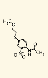 COCCSc1ccc(NC(C)=O)c([N+](=O)[O-])c1